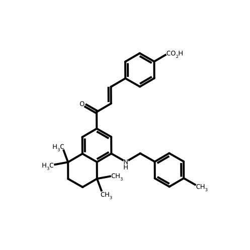 Cc1ccc(CNc2cc(C(=O)C=Cc3ccc(C(=O)O)cc3)cc3c2C(C)(C)CCC3(C)C)cc1